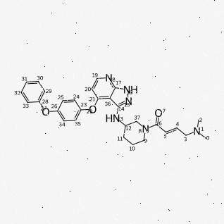 CN(C)C/C=C/C(=O)N1CCCC(Nc2n[nH]c3nccc(Oc4ccc(Oc5ccccc5)cc4)c23)C1